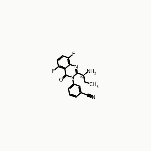 CC[C@H](N)c1nc2c(F)ccc(F)c2c(=O)n1-c1cccc(C#N)c1